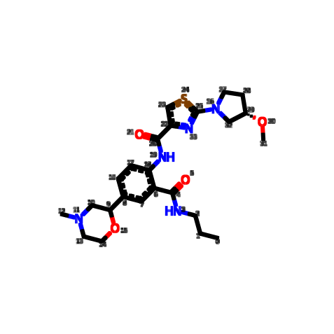 CCCNC(=O)c1cc(C2CN(C)CCO2)ccc1NC(=O)c1csc(N2CC[C@H](OC)C2)n1